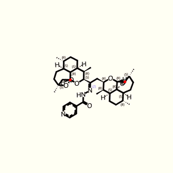 C[C@H]1[C@@H](/C(C[C@H]2O[C@@H]3C[C@]4(C)CC[C@H]5[C@H](C)CC[C@@H]([C@H]2C)[C@@]35OO4)=N\NC(=O)c2ccncc2)O[C@@H]2C[C@]3(C)CC[C@H]4[C@H](C)CC[C@@H]1[C@@]24OO3